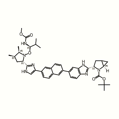 COC(=O)N[C@H](ON1[C@H](C)[C@H](C)C[C@H]1c1nc(-c2ccc3cc(-c4ccc5nc([C@@H]6CC7C[C@H]7N6C(=O)OC(C)(C)C)[nH]c5c4)ccc3c2)c[nH]1)C(C)C